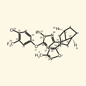 Cc1noc(N2C[C@H]3CC[C@@H](C2)C3Nc2nc(Oc3ccc(Cl)c(C(F)(F)F)c3)n(C(C)C)n2)n1